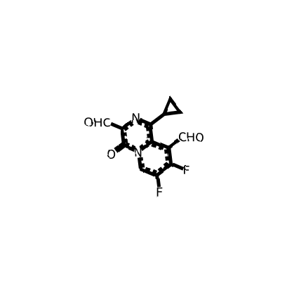 O=Cc1nc(C2CC2)c2c(C=O)c(F)c(F)cn2c1=O